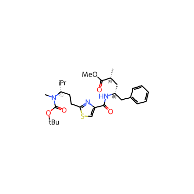 COC(=O)[C@H](C)C[C@H](Cc1ccccc1)NC(=O)c1csc(CC[C@@H](C(C)C)N(C)C(=O)OC(C)(C)C)n1